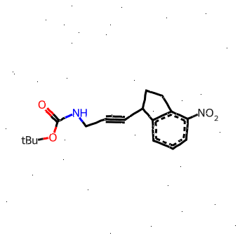 CC(C)(C)OC(=O)NCC#CC1CCc2c1cccc2[N+](=O)[O-]